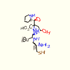 CCC(C)C(CNC(CCO)(C(=O)O)C(=O)[C@@H]1CCCCN1)NC[C@H](N)CS